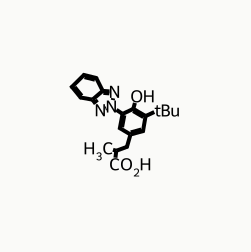 CC(Cc1cc(-n2nc3ccccc3n2)c(O)c(C(C)(C)C)c1)C(=O)O